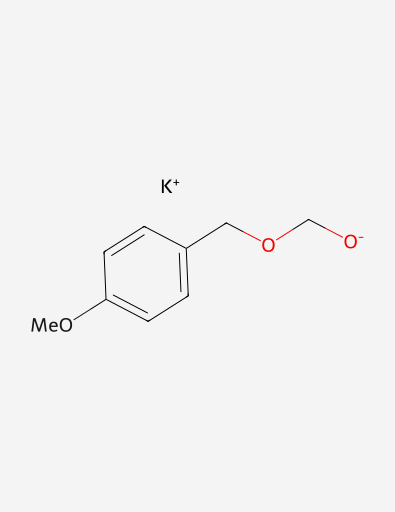 COc1ccc(COC[O-])cc1.[K+]